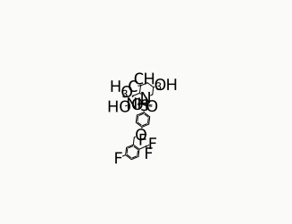 CC1(C)CC(O)CN(S(=O)(=O)c2ccc(OCc3cc(F)ccc3C(F)(F)F)cc2)C1C(=O)NO